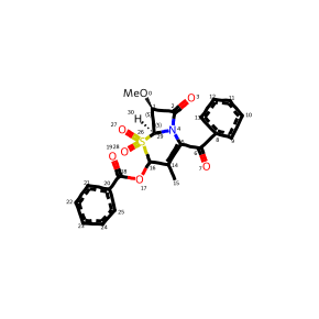 CO[C@H]1C(=O)N2C(C(=O)c3ccccc3)=C(C)C(OC(=O)c3ccccc3)S(=O)(=O)[C@@H]12